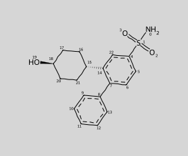 NS(=O)(=O)c1ccc(-c2ccccc2)c([C@H]2CC[C@H](O)CC2)c1